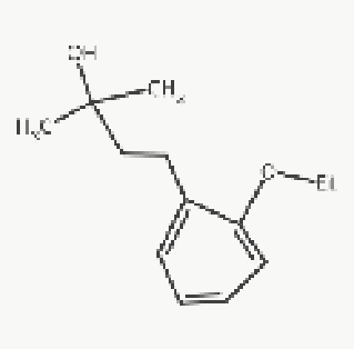 CCOc1ccccc1CCC(C)(C)O